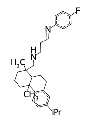 CC(C)c1ccc2c(c1)CCC1C(C)(CNCC/C=N/c3ccc(F)cc3)CCCC21C